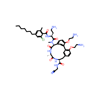 CCCCCCCc1cc(C)c(C(=O)N[C@@H](CCN)C(=O)N(C)[C@@H]2C(=O)N[C@@H](C)C(=O)N[C@H](C(=O)NCC#N)Cc3ccc(OCCN)c(c3)-c3cc2ccc3OCCN)c(Cl)c1